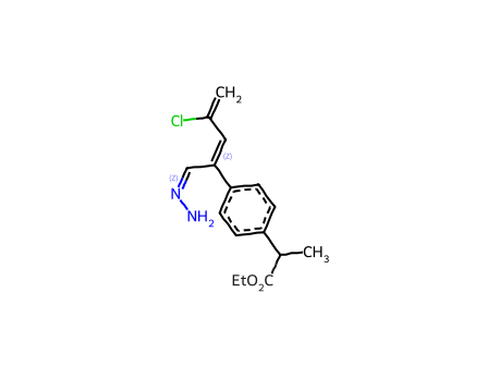 C=C(Cl)/C=C(\C=N/N)c1ccc(C(C)C(=O)OCC)cc1